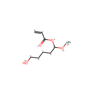 C=CC(=O)OC(CCCCO)OCCC